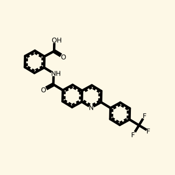 O=C(Nc1ccccc1C(=O)O)c1ccc2nc(-c3ccc(C(F)(F)F)cc3)ccc2c1